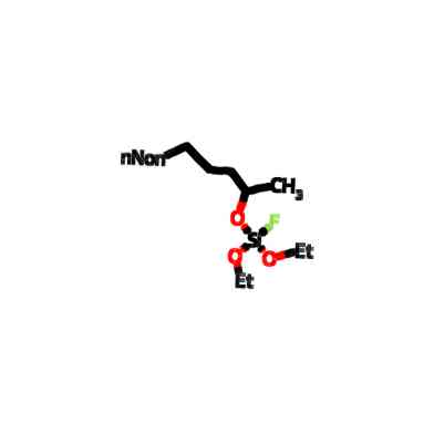 CCCCCCCCCCCCC(C)O[Si](F)(OCC)OCC